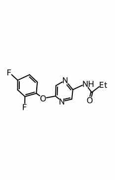 CCC(=O)Nc1cnc(Oc2ccc(F)cc2F)cn1